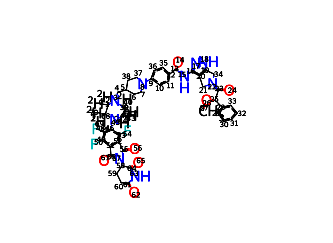 [2H]C1([2H])N(CC2CCN(c3ccc(C(=O)Nc4n[nH]c5c4CN(C(=O)[C@H](OC)c4ccccc4)C5)cc3)CC2)C([2H])([2H])C([2H])([2H])N(c2c(F)c(F)c3c(c2F)C(=O)N(C2CCC(=O)NC2=O)C3=O)C1([2H])[2H]